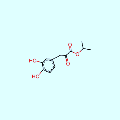 CC(C)OC(=O)C(=O)Cc1ccc(O)c(O)c1